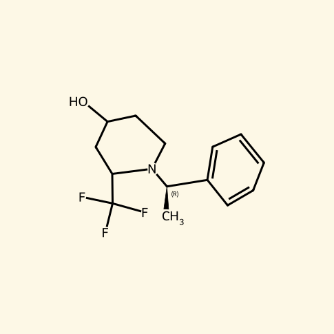 C[C@H](c1ccccc1)N1CCC(O)CC1C(F)(F)F